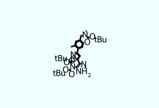 C=N/C(=C(\N)N(C(=O)OC(C)(C)C)C(=O)OC(C)(C)C)c1cc(-c2ccc(CN(C)C(=O)OC(C)(C)C)cc2C)no1